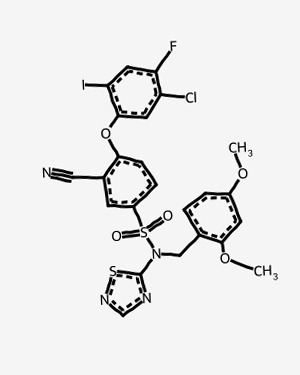 COc1ccc(CN(c2ncns2)S(=O)(=O)c2ccc(Oc3cc(Cl)c(F)cc3I)c(C#N)c2)c(OC)c1